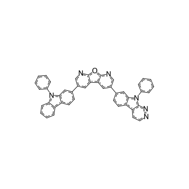 c1ccc(-n2c3ccccc3c3ccc(-c4cnc5oc6ncc(-c7ccc8c9ccnnc9n(-c9ccccc9)c8c7)cc6c5c4)cc32)cc1